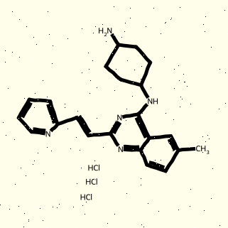 Cc1ccc2nc(C=Cc3ccccn3)nc(NC3CCC(N)CC3)c2c1.Cl.Cl.Cl